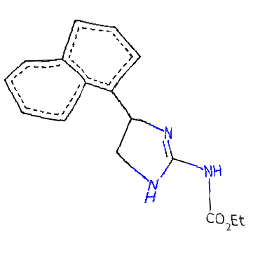 CCOC(=O)NC1=NC(c2cccc3ccccc23)CN1